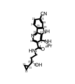 CC(C)Nc1c(C(=O)NCC[C@H](O)C2CC2)cnc2c1[nH]c1cc(C#N)ccc12